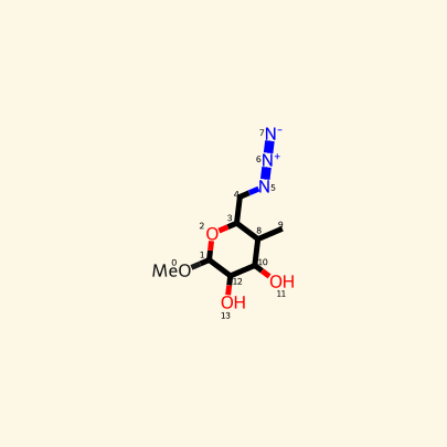 COC1OC(CN=[N+]=[N-])C(C)C(O)C1O